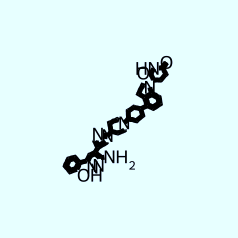 Nc1nnc(-c2ccccc2O)cc1-c1cnn(C2CCN(C3CCC(c4cccc5c4CCN5C4CCC(=O)NC4=O)CC3)CC2)c1